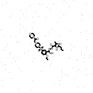 CCCC1NC(C)=C(C(=O)N=NC(=N)c2cc(S(=O)(=O)N3CCN(CC(=O)N4CCOCC4)CC3)ccc2OCC)N1